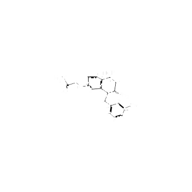 Cl.NC(=O)COc1ccc2c(c1)C(Cc1cccc(F)c1)C(N)CC2